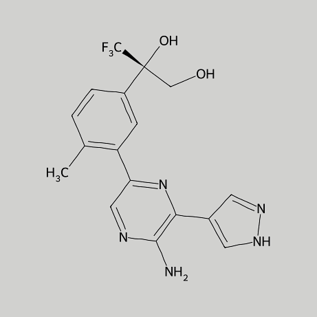 Cc1ccc([C@](O)(CO)C(F)(F)F)cc1-c1cnc(N)c(-c2cn[nH]c2)n1